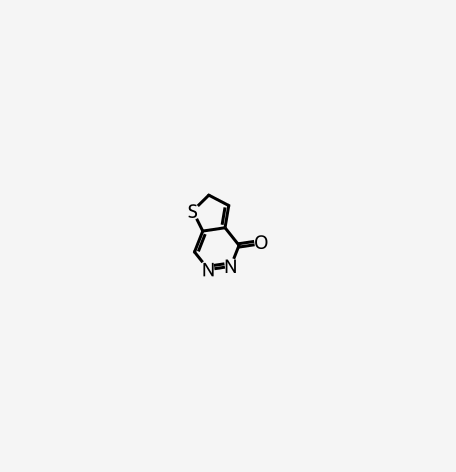 O=C1N=NC=C2SCC=C12